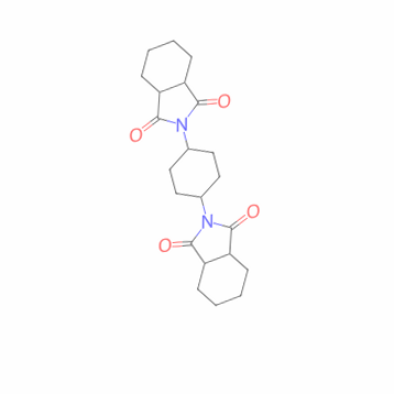 O=C1C2CCCCC2C(=O)N1C1CCC(N2C(=O)C3CCCCC3C2=O)CC1